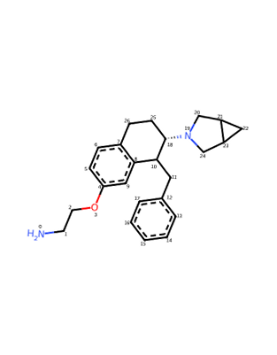 NCCOc1ccc2c(c1)C(Cc1ccccc1)[C@@H](N1CC3CC3C1)CC2